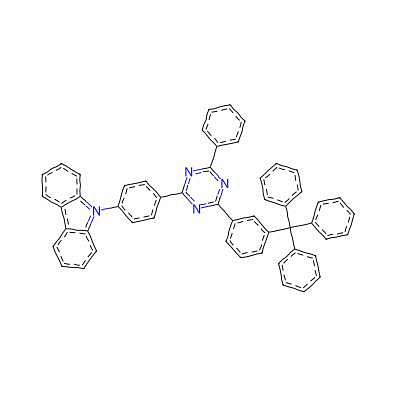 c1ccc(-c2nc(-c3ccc(-n4c5ccccc5c5ccccc54)cc3)nc(-c3cccc(C(c4ccccc4)(c4ccccc4)c4ccccc4)c3)n2)cc1